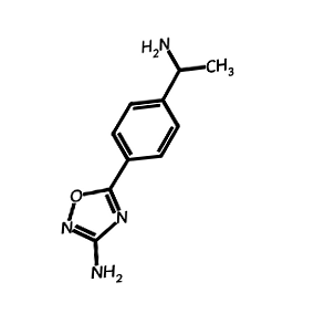 CC(N)c1ccc(-c2nc(N)no2)cc1